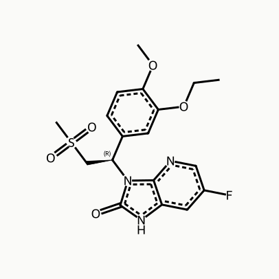 CCOc1cc([C@H](CS(C)(=O)=O)n2c(=O)[nH]c3cc(F)cnc32)ccc1OC